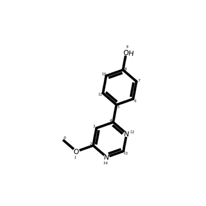 COc1cc(-c2ccc(O)cc2)ncn1